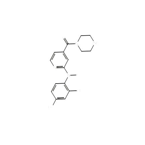 Cc1ccc(N(C)c2cc(C(=O)N3CCNCC3)ccn2)c(Cl)c1